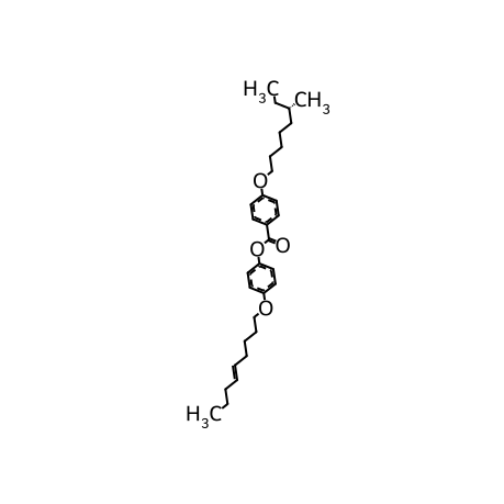 CCC/C=C/CCCCOc1ccc(OC(=O)c2ccc(OCCCCC[C@@H](C)CC)cc2)cc1